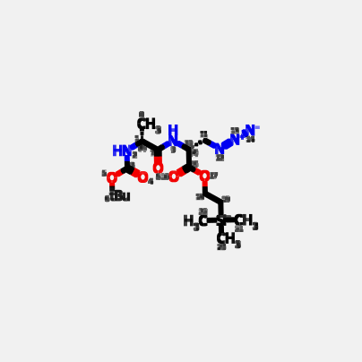 C[C@@H](NC(=O)OC(C)(C)C)C(=O)N[C@H](CN=[N+]=[N-])C(=O)OCC[Si](C)(C)C